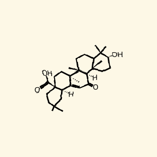 CC1(C)CC[C@]2(C(=O)O)CC[C@]3(C)C(=CC(=O)[C@@H]4[C@@]5(C)CC[C@@H](O)C(C)(C)C5CC[C@]43C)[C@H]2C1